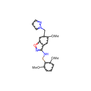 COc1cc2c(NSc3c(OC)cccc3OC)noc2cc1Cn1cccn1